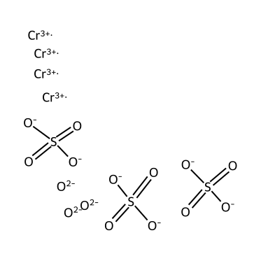 O=S(=O)([O-])[O-].O=S(=O)([O-])[O-].O=S(=O)([O-])[O-].[Cr+3].[Cr+3].[Cr+3].[Cr+3].[O-2].[O-2].[O-2]